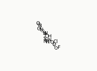 O=C(CN1CCOCC1)N1CCC(n2cc3c(n2)CCc2c-3sc3ncnc(Nc4ccc(OCc5cccc(F)c5)c(Cl)c4)c23)CC1